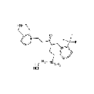 CN(C)CCN(Cc1ccccc1C(F)(F)F)C(=O)CCc1cccc2c1CCNC2.Cl.Cl